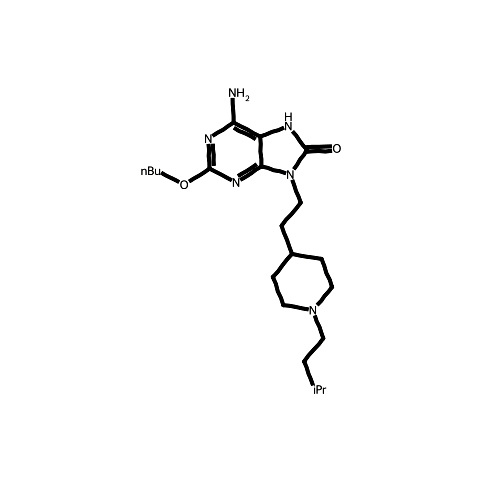 CCCCOc1nc(N)c2[nH]c(=O)n(CCC3CCN(CCC(C)C)CC3)c2n1